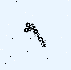 CC(C)(C)OC(=O)N1CCC(COc2ccc(C(N3Cc4ccccc4C3)C(F)(F)S(=O)(=O)c3ccccc3)cc2Br)CC1